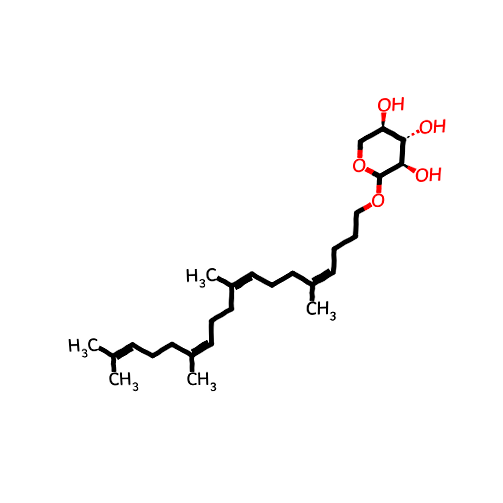 CC(C)=CCCC(C)=CCCC(C)=CCCC(C)=CCCCOC1OC[C@@H](O)[C@H](O)[C@H]1O